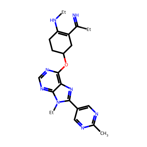 CCNC1=C(C(=N)CC)CC(Oc2ncnc3c2nc(-c2cnc(C)nc2)n3CC)CC1